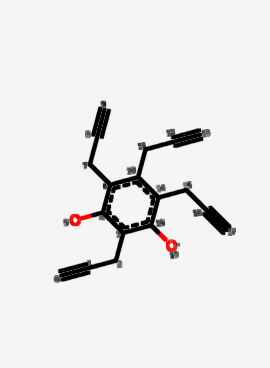 C#CCc1c([O])c(CC#C)c(CC#C)c(CC#C)c1[O]